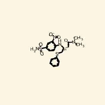 CN(C)C(=O)C[C@H](CSc1ccccc1)Nc1ccc(S(N)(=O)=O)cc1[N+](=O)[O-]